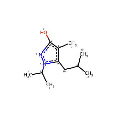 Cc1c(O)nn(C(C)C)c1CC(C)C